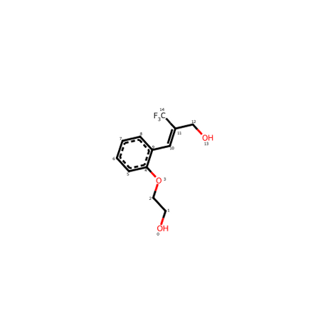 OCCOc1ccccc1/C=C(/CO)C(F)(F)F